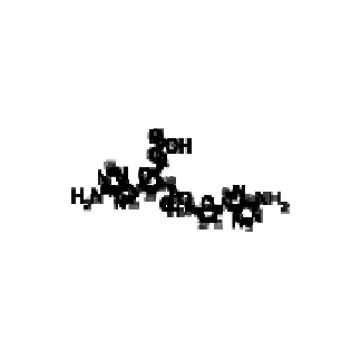 Nc1ncnc2c1ncn2[C@H]1CCC(CO[PH](=O)C[C@H]2C[C@H](n3cnc4c(N)ncnc43)OC2CO[PH](=O)O)O1